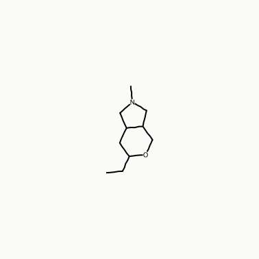 CCC1CC2CN(C)CC2CO1